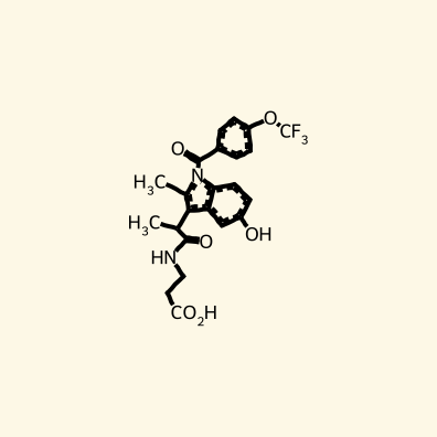 Cc1c(C(C)C(=O)NCCC(=O)O)c2cc(O)ccc2n1C(=O)c1ccc(OC(F)(F)F)cc1